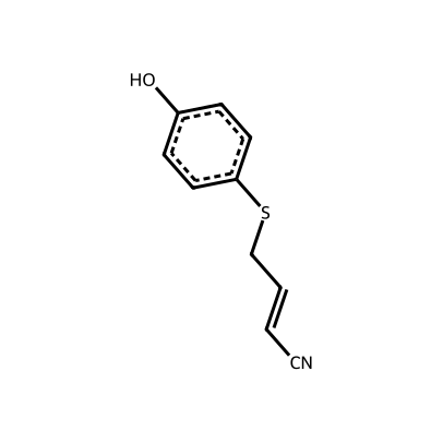 N#CC=CCSc1ccc(O)cc1